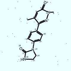 Cc1cc(=O)n(C)nc1-c1ccc(N2CCNC2=O)cc1